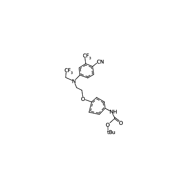 CC(C)(C)OC(=O)Nc1ccc(OCCN(CC(F)(F)F)c2ccc(C#N)c(C(F)(F)F)c2)cc1